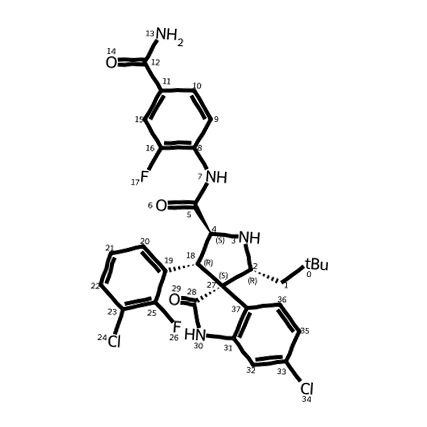 CC(C)(C)C[C@H]1N[C@H](C(=O)Nc2ccc(C(N)=O)cc2F)[C@@H](c2cccc(Cl)c2F)[C@@]12C(=O)Nc1cc(Cl)ccc12